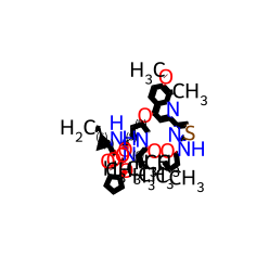 C=C[C@@H]1C[C@]1(NC(=O)[C@@H]1C[C@@H](Oc2cc(-c3csc(NC(=O)CC(C)(C)C)n3)nc3c(C)c(OC)ccc23)CN1C(=O)[C@@H](NC(=O)OC1CCCC1)C(C)(C)C)C(=O)OC